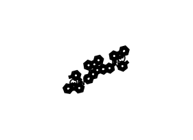 Cc1cccc(N(c2ccc3cc4c(cc3c2)C2(c3ccccc3-c3ccccc32)c2cc3cc(N(c5cccc(C)c5)c5cccc6c5oc5ccccc56)ccc3cc2-4)c2cccc3c2oc2ccccc23)c1